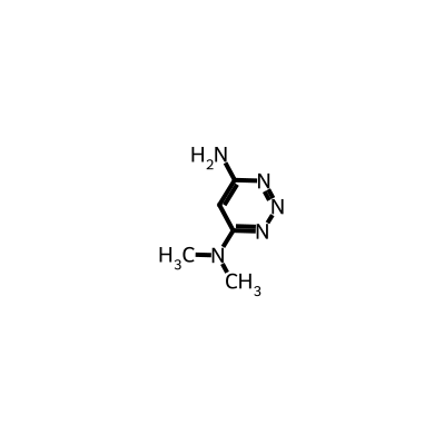 CN(C)c1cc(N)nnn1